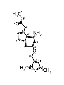 COC(=O)Cc1csc2cc(OCc3cc(C)nn3C)cc(N)c12